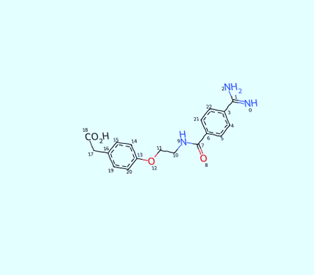 N=C(N)c1ccc(C(=O)NCCOc2ccc(CC(=O)O)cc2)cc1